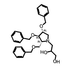 OCC(O)CN1C[C@@H](OCc2ccccc2)[C@H](OCc2ccccc2)[C@H]1COCc1ccccc1